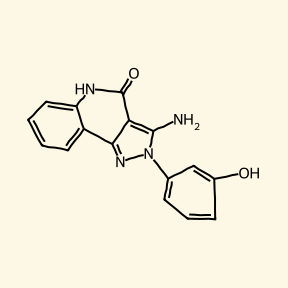 Nc1c2c(=O)[nH]c3ccccc3c2nn1-c1cccc(O)c1